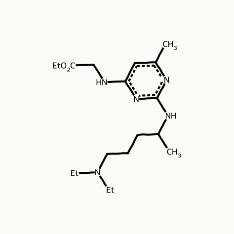 CCOC(=O)CNc1cc(C)nc(NC(C)CCCN(CC)CC)n1